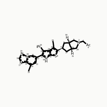 CC(=O)CN1C[C@H]2C[C@H](c3sc4[nH]c(-c5cc(C)c6ncnn6c5)c(C(C)C)c4c3C)C[C@H]2C1